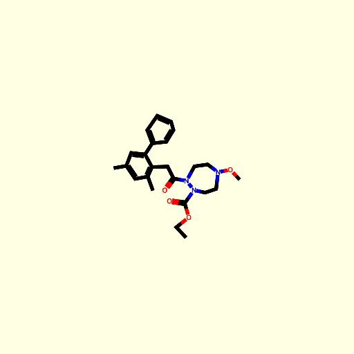 CCOC(=O)N1CCN(OC)CCN1C(=O)Cc1c(C)cc(C)cc1-c1ccccc1